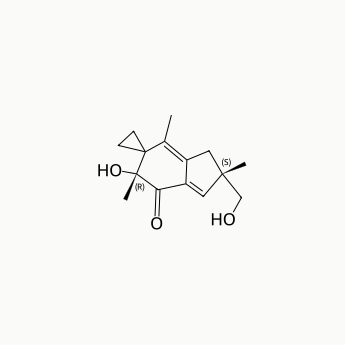 CC1=C2C[C@](C)(CO)C=C2C(=O)[C@](C)(O)C12CC2